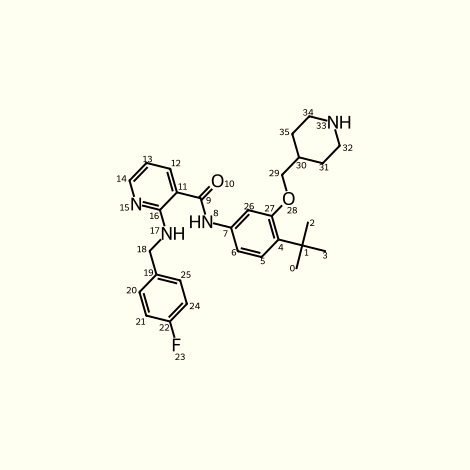 CC(C)(C)c1ccc(NC(=O)c2cccnc2NCc2ccc(F)cc2)cc1OCC1CCNCC1